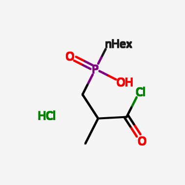 CCCCCCP(=O)(O)CC(C)C(=O)Cl.Cl